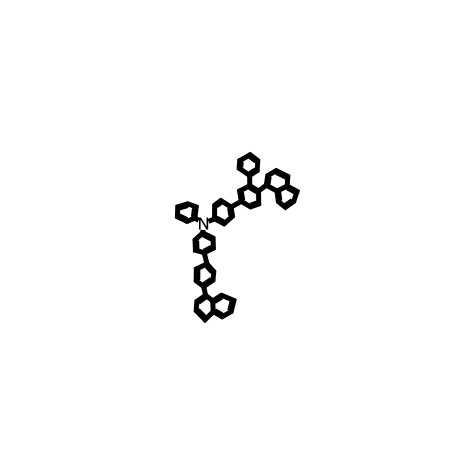 c1ccc(-c2cc(-c3ccc(N(c4ccccc4)c4ccc(-c5ccc(-c6cccc7ccccc67)cc5)cc4)cc3)ccc2-c2cccc3ccccc23)cc1